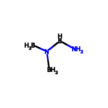 BN(B)BN